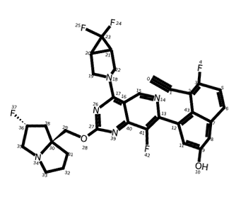 C#Cc1c(F)ccc2cc(O)cc(-c3ncc4c(N5CC6C(C5)C6(F)F)nc(OC[C@@]56CCCN5C[C@H](F)C6)nc4c3F)c12